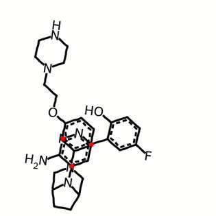 Nc1nnc(-c2cc(F)ccc2O)cc1N1C2CCC1CN(c1cccc(OCCN3CCNCC3)c1)C2